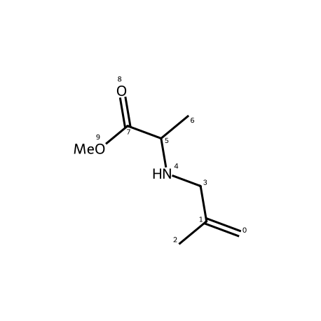 C=C(C)CNC(C)C(=O)OC